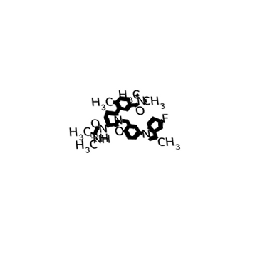 CN[C@@H](C)C(=O)Nc1ccc(-c2cc(C(=O)N(C)C)ccc2C)n(Cc2cccc(-n3cc(C)c4cc(F)ccc43)c2)c1=O